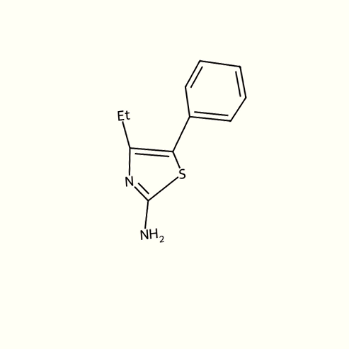 [CH2]Cc1nc(N)sc1-c1ccccc1